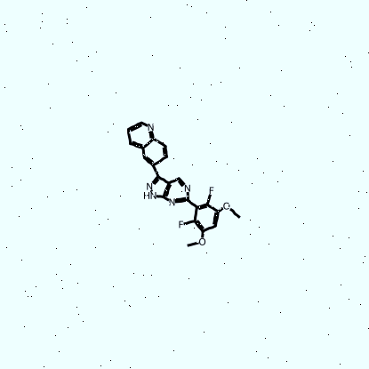 COc1cc(OC)c(F)c(-c2ncc3c(-c4ccc5ncccc5c4)n[nH]c3n2)c1F